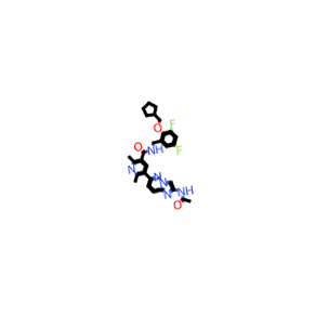 CC(=O)Nc1cn2nc(-c3cc(C(=O)NCc4cc(F)cc(F)c4OCC4CCCC4)c(C)nc3C)ccc2n1